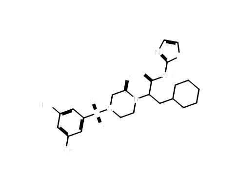 Cc1cc(C)cc(S(=O)(=O)N2CCN(C(CC3CCCCC3)C(=O)Nc3nccs3)C(=O)C2)c1